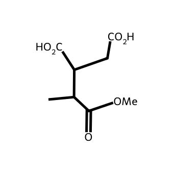 COC(=O)C(C)C(CC(=O)O)C(=O)O